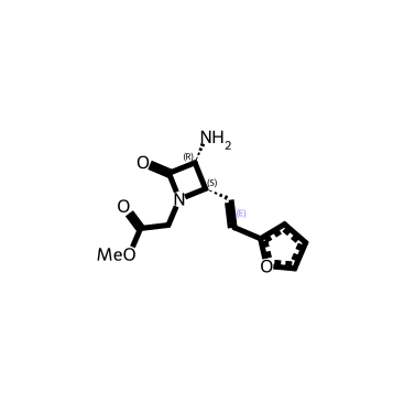 COC(=O)CN1C(=O)[C@H](N)[C@@H]1/C=C/c1ccco1